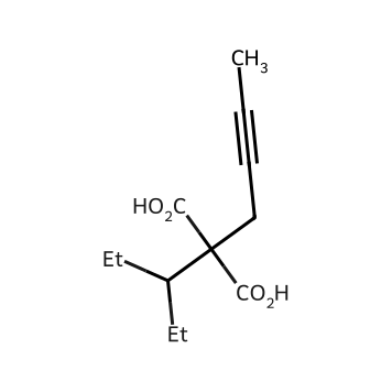 CC#CCC(C(=O)O)(C(=O)O)C(CC)CC